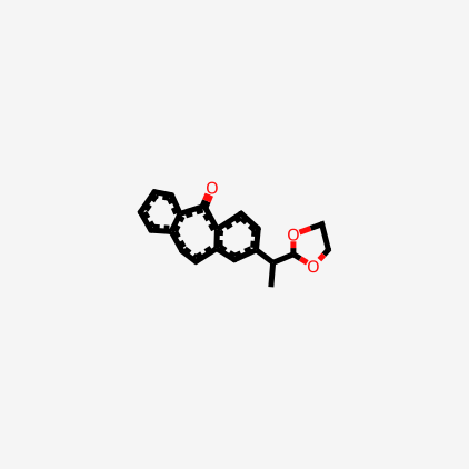 CC(c1ccc2c(=O)c3ccccc3ccc2c1)C1OCCO1